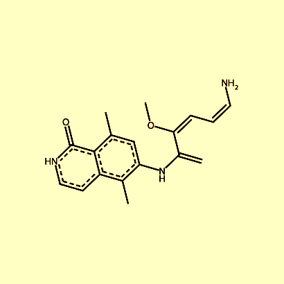 C=C(Nc1cc(C)c2c(=O)[nH]ccc2c1C)/C(=C\C=C/N)OC